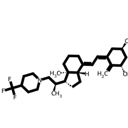 C=C1/C(=C\C=C2/CCC[C@]3(C)[C@@H]([C@@H](C)CN4CCC(C(F)(F)F)CC4)CC[C@@H]23)C[C@@H](O)C[C@@H]1O